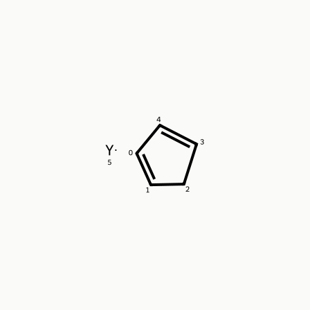 C1=CCC=C1.[Y]